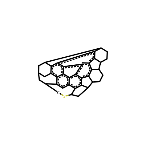 c1c2c3c4c5c6c7c8c9c%10c%11c%12c%13c(c1c1c3c6c9c%121)C1CC%13C%11CCC%10C8CCC7C5CC(C4)CC2CS1